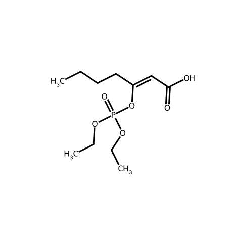 CCCC/C(=C/C(=O)O)OP(=O)(OCC)OCC